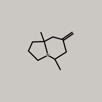 C=C1CC(C)N2CCCC2(C)C1